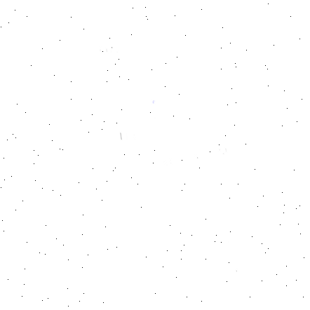 CC(=O)OC/C=C(\C)CS(=O)(=O)c1ccc(C(F)(F)F)cc1